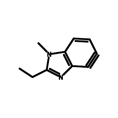 CCc1nc2c#cccc2n1C